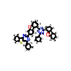 c1ccc(-c2nc(-c3cccc4c3oc3ccccc34)nc(-c3cccc4oc5cc(-c6nc(-c7ccccc7)c7sc8ccccc8c7n6)ccc5c34)n2)cc1